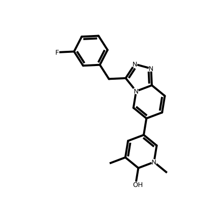 CC1=CC(c2ccc3nnc(Cc4cccc(F)c4)n3c2)=CN(C)C1O